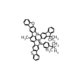 Cc1cc2c3c4c1c1cc5c(cc1n4-c1cc4c(cc1B3N(c1ccc(C(C)(C)C)cc1)c1cc3c(cc1-2)sc1ccccc13)C(C)(C)c1ccccc1-4)oc1ccccc15